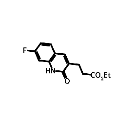 CCOC(=O)CCc1cc2ccc(F)cc2[nH]c1=O